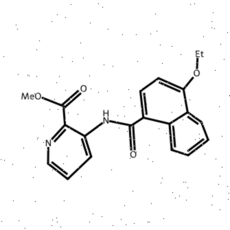 CCOc1ccc(C(=O)Nc2cccnc2C(=O)OC)c2ccccc12